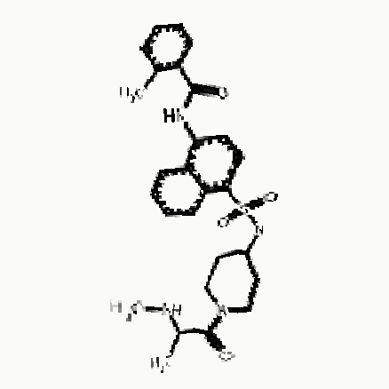 CNC(C)C(=O)N1CCC(NS(=O)(=O)c2ccc(NC(=O)c3ccccc3C)c3ccccc23)CC1